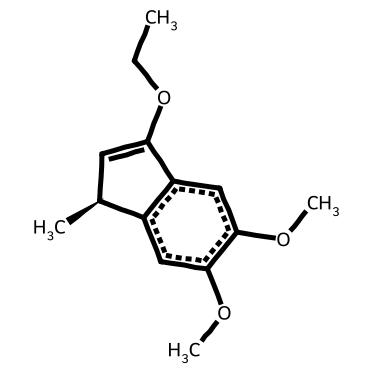 CCOC1=C[C@H](C)c2cc(OC)c(OC)cc21